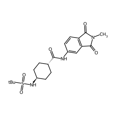 CN1C(=O)c2ccc(NC(=O)[C@H]3CC[C@H](NS(=O)(=O)C(C)(C)C)CC3)cc2C1=O